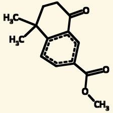 COC(=O)c1ccc2c(c1)C(=O)CCC2(C)C